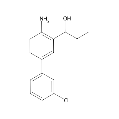 CCC(O)c1cc(-c2cccc(Cl)c2)ccc1N